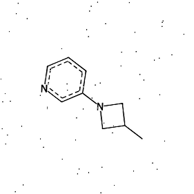 CC1CN(c2cccnc2)C1